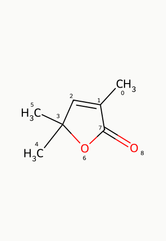 CC1=CC(C)(C)OC1=O